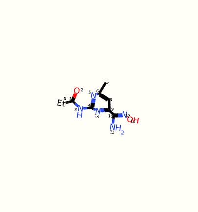 CCC(=O)Nc1nc(C)cc(C(N)=NO)n1